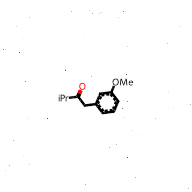 COc1cccc(CC(=O)C(C)C)c1